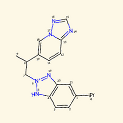 CC(C)c1ccc2[nH][n+](CC(C)c3ccc4ncnn4c3)nc2c1